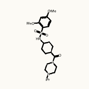 COc1ccc(S(=O)(=O)NC2CCC(C(=O)N3CCN(C(C)C)CC3)CC2)c(OC)c1